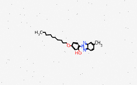 CCCCCCCCCCOc1ccc(-n2nc3ccc(C)cc3n2)c(O)c1